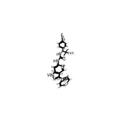 CC(C)(O)[C@@H](NC(=O)Nc1cc2[nH]nc(N3CC4CC3CO4)c2cn1)c1ccc(F)cc1